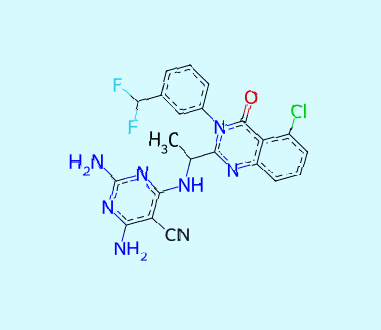 CC(Nc1nc(N)nc(N)c1C#N)c1nc2cccc(Cl)c2c(=O)n1-c1cccc(C(F)F)c1